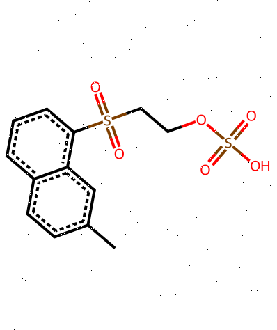 Cc1ccc2cccc(S(=O)(=O)CCOS(=O)(=O)O)c2c1